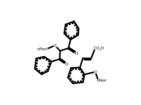 CCCCCCCCCOc1ccccc1/C=C/C(=O)O.CCCCCOC(C(=O)c1ccccc1)C(=O)c1ccccc1